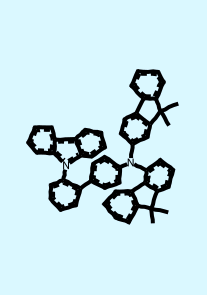 CC1(C)c2ccccc2-c2ccc(N(c3ccc(-c4ccccc4-n4c5ccccc5c5ccccc54)cc3)c3cccc4c3-c3ccccc3C4(C)C)cc21